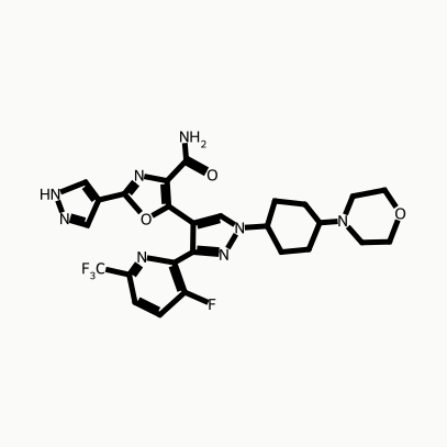 NC(=O)c1nc(-c2cn[nH]c2)oc1-c1cn(C2CCC(N3CCOCC3)CC2)nc1-c1nc(C(F)(F)F)ccc1F